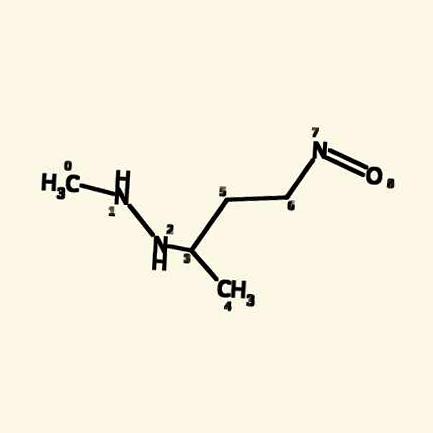 CNNC(C)CCN=O